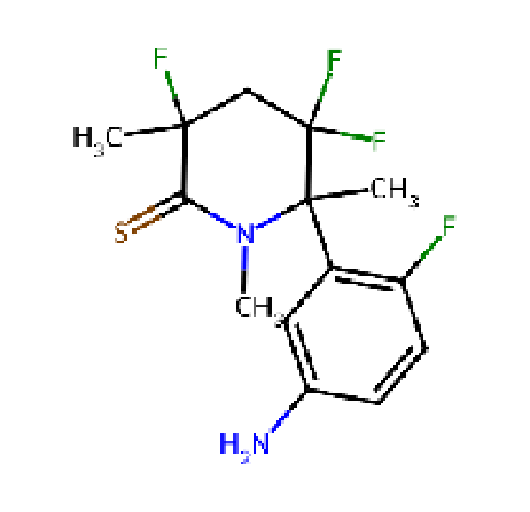 CN1C(=S)C(C)(F)CC(F)(F)C1(C)c1cc(N)ccc1F